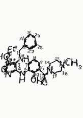 CC[C@@H](Nc1c(Nc2cccc(C(=O)N3CCN(C)CC3)c2O)no[n+]1O)c1ccccc1